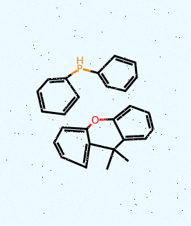 CC1(C)c2ccccc2Oc2ccccc21.c1ccc(Pc2ccccc2)cc1